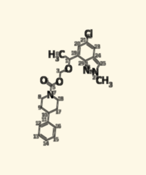 CC(OCOC(=O)N1CCC(c2ccccc2)CC1)c1cc(Cl)cc2cn(C)nc12